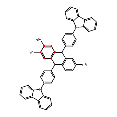 CCCc1ccc2c(c1)C1(c3ccc(-n4c5ccccc5c5ccccc54)cc3)c3ccc(CCC)cc3C2(c2ccc(-n3c4ccccc4c4ccccc43)cc2)c2cc(CCC)ccc21